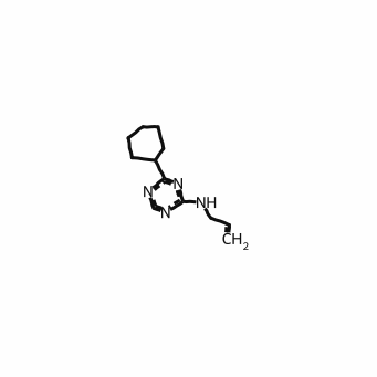 C=CCNc1ncnc(C2CCCCC2)n1